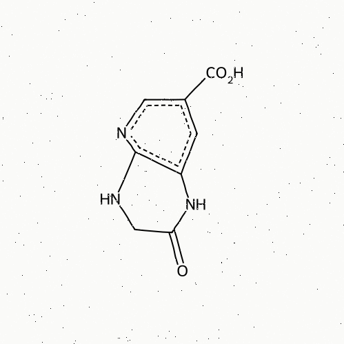 O=C1CNc2ncc(C(=O)O)cc2N1